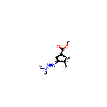 COC(=O)c1cc(/N=N/N(C)C)c(C)[se]1